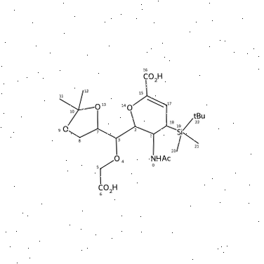 CC(=O)NC1C(C(OCC(=O)O)C2COC(C)(C)O2)OC(C(=O)O)=CC1[Si](C)(C)C(C)(C)C